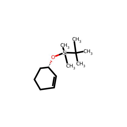 CC(C)(C)[Si](C)(C)O[C@@H]1C=CCCC1